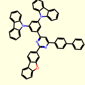 c1ccc(-c2ccc(-c3cc(-c4cc(-n5c6ccccc6c6ccccc65)cc(-n5c6ccccc6c6ccccc65)c4)nc(-c4ccc5c(c4)oc4ccccc45)n3)cc2)cc1